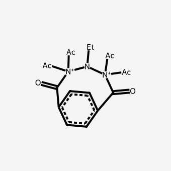 CCN1[N+](C(C)=O)(C(C)=O)C(=O)c2ccc(cc2)C(=O)[N+]1(C(C)=O)C(C)=O